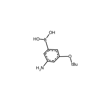 CC(C)(C)Oc1cc(N)cc(B(O)O)c1